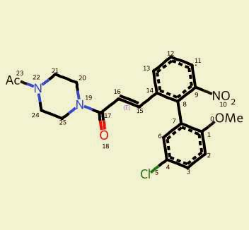 COc1ccc(Cl)cc1-c1c([N+](=O)[O-])[c]ccc1/C=C/C(=O)N1CCN(C(C)=O)CC1